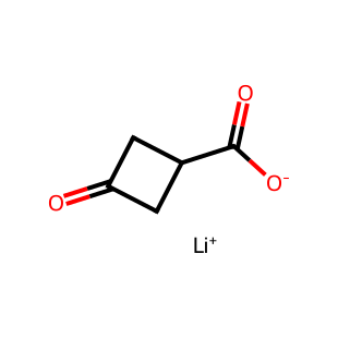 O=C1CC(C(=O)[O-])C1.[Li+]